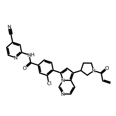 C=CC(=O)N1CCC(c2cc(-c3ccc(C(=O)Nc4cc(C#N)ccn4)cc3Cl)n3cnccc23)C1